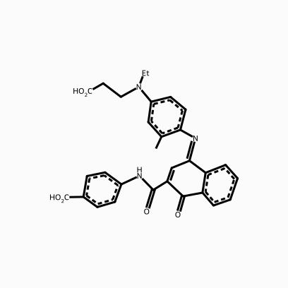 CCN(CCC(=O)O)c1ccc(/N=C2\C=C(C(=O)Nc3ccc(C(=O)O)cc3)C(=O)c3ccccc32)c(C)c1